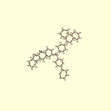 c1ccc(-c2ccc(N(c3ccc(-c4cc5ccccc5c5ccccc45)cc3)c3ccc4nc5oc6ccccc6c5cc4c3)cc2)cc1